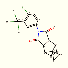 O=C1C2C(C(=O)N1c1ccc(Br)c(C(F)(F)F)c1)C1C=CC2C12CC2